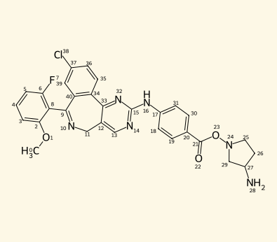 COc1cccc(F)c1C1=NCc2cnc(Nc3ccc(C(=O)ON4CCC(N)C4)cc3)nc2-c2ccc(Cl)cc21